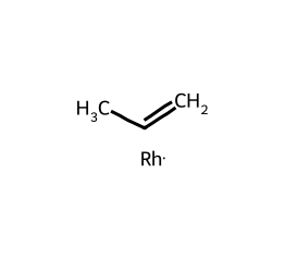 C=CC.[Rh]